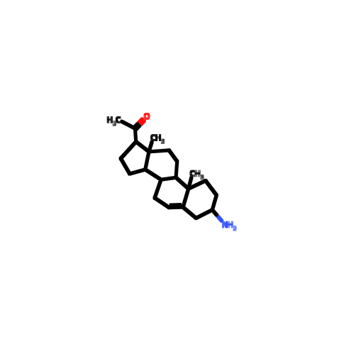 CC(=O)C1CCC2C3CC=C4CC(N)CCC4(C)C3CCC12C